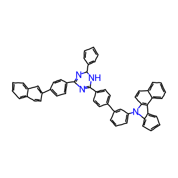 c1ccc(C2N=C(c3ccc(-c4ccc5ccccc5c4)cc3)N=C(c3ccc(-c4cccc(-n5c6ccccc6c6c7ccccc7ccc65)c4)cc3)N2)cc1